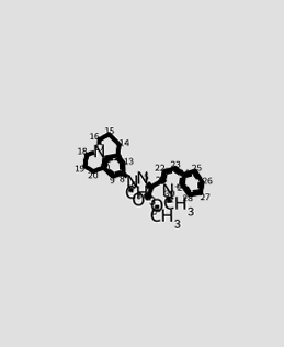 COC(=O)/C(=N\N(C)c1cc2c3c(c1)CCCN3CCC2)c1ccc2ccccc2[n+]1C